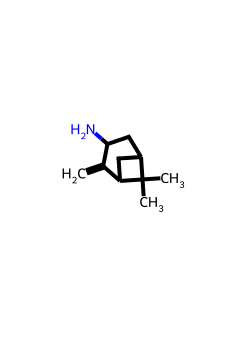 C=C1C(N)CC2CC1C2(C)C